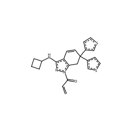 C=CC(=O)n1nc(NC2CCC2)c2c1CC(c1ccsc1)(c1ccsc1)C=C2